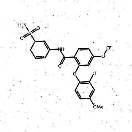 COc1ccc(Oc2cc(OC(F)(F)F)ccc2C(=O)NC2=CC(S(N)(=O)=O)CC=C2)c(Cl)c1